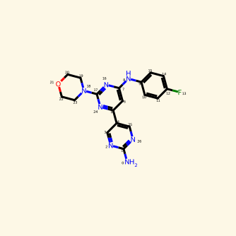 Nc1ncc(-c2cc(Nc3ccc(F)cc3)nc(N3CCOCC3)n2)cn1